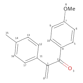 C=C(C(=O)c1ccc(OC)cc1)c1ccc(C)cc1